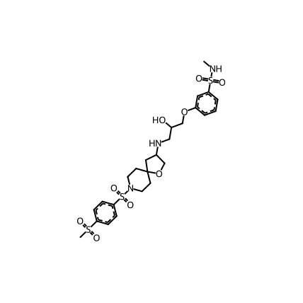 CNS(=O)(=O)c1cccc(OCC(O)CNC2COC3(CCN(S(=O)(=O)c4ccc(S(C)(=O)=O)cc4)CC3)C2)c1